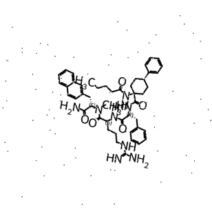 CCCCC(=O)N[C@]1(C(=O)N[C@H](Cc2ccccc2)C(=O)N[C@@H](CCCNC(=N)N)C(=O)N(C)[C@@H](Cc2ccc3ccccc3c2)C(N)=O)CC[C@H](c2ccccc2)CC1